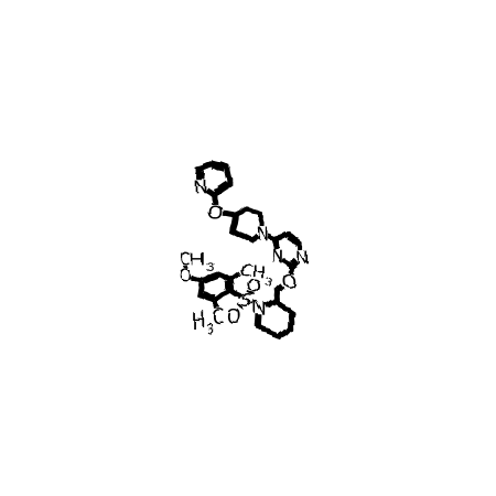 COc1cc(C)c(S(=O)(=O)N2CCCCC2COc2nccc(N3CCC(Oc4ccccn4)CC3)n2)c(C)c1